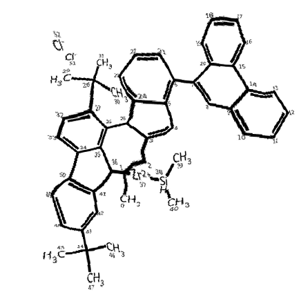 CCCC1=Cc2c(-c3cc4ccccc4c4ccccc34)cccc2C1c1c(C(C)(C)C)ccc2c1[CH]([Zr+2][SiH](C)C)c1cc(C(C)(C)C)ccc1-2.[Cl-].[Cl-]